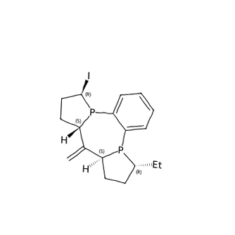 C=C1[C@@H]2CC[C@@H](CC)P2c2ccccc2P2[C@H](I)CC[C@@H]12